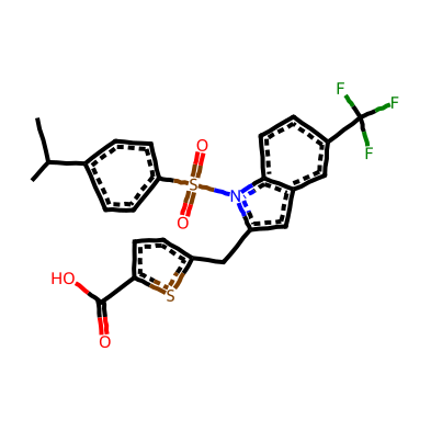 CC(C)c1ccc(S(=O)(=O)n2c(Cc3ccc(C(=O)O)s3)cc3cc(C(F)(F)F)ccc32)cc1